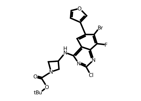 CC(C)(C)OC(=O)N1CC(Nc2nc(Cl)nc3c(F)c(Br)c(-c4ccoc4)cc23)C1